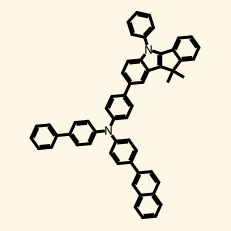 CC1(C)c2ccccc2-c2c1c1cc(-c3ccc(N(c4ccc(-c5ccccc5)cc4)c4ccc(-c5ccc6ccccc6c5)cc4)cc3)ccc1n2-c1ccccc1